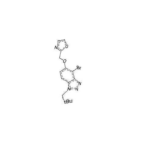 CC(C)(C)Cn1nnc2c(Br)c(OCc3ncco3)ccc21